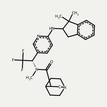 CN(C(=O)C1CN2CCC1CC2)[C@@H](c1ccc(NC2Cc3ccccc3C2(C)C)nc1)C(F)(F)F